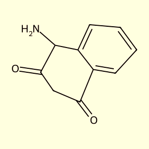 NC1C(=O)CC(=O)c2ccccc21